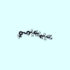 C/N=C(/CCNC(=O)c1cc(NC(=O)c2cc(NC(=O)c3ccc(/C=C/c4cccc(C(F)(F)F)c4)nc3)cn2C)cn1C)NC